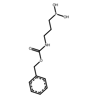 O=C(NCCCP(O)O)OCc1ccccc1